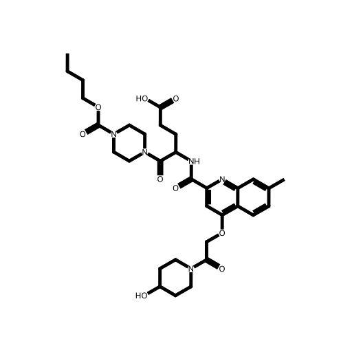 CCCCOC(=O)N1CCN(C(=O)C(CCC(=O)O)NC(=O)c2cc(OCC(=O)N3CCC(O)CC3)c3ccc(C)cc3n2)CC1